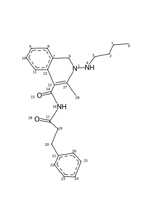 CCCCNN1Cc2ccccc2C(C(=O)NC(=O)CCc2ccccc2)=C1C